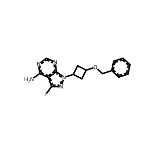 Nc1ncnc2c1c(I)nn2C1CC(OCc2ccccc2)C1